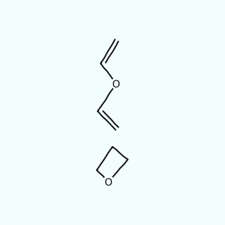 C1COC1.C=COC=C